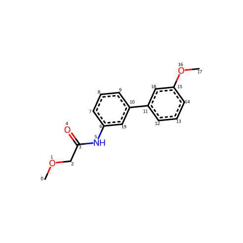 COCC(=O)Nc1cccc(-c2cccc(OC)c2)c1